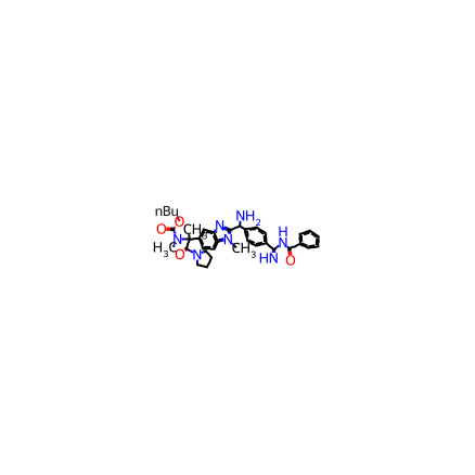 CCCCOC(=O)N(C)C(C)(C(=O)N1CCCC1)c1ccc2c(c1)nc(C(N)c1ccc(C(=N)NC(=O)c3ccccc3)cc1)n2C